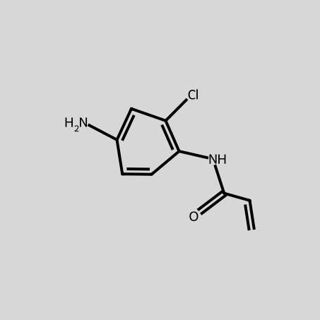 C=CC(=O)Nc1ccc(N)cc1Cl